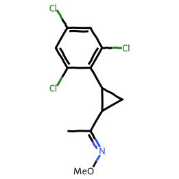 CO/N=C(\C)C1CC1c1c(Cl)cc(Cl)cc1Cl